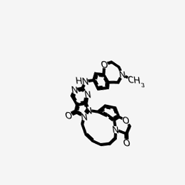 CN1CCOc2cc(Nc3ncc4c(=O)n5n(c4n3)-c3ccc4c(c3)N(CCC/C=C\C5)C(=O)CO4)ccc2C1